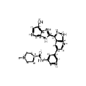 CN1CCN(C(=O)Nc2cncc(-c3cnc4[nH]nc(-c5nc6c(C#N)cncc6[nH]5)c4c3)c2)CC1